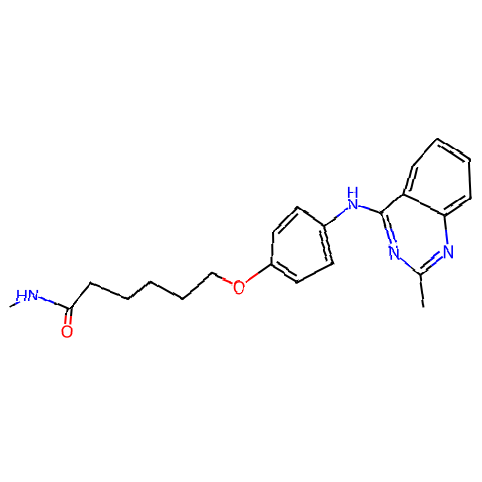 CNC(=O)CCCCCOc1ccc(Nc2nc(C)nc3ccccc23)cc1